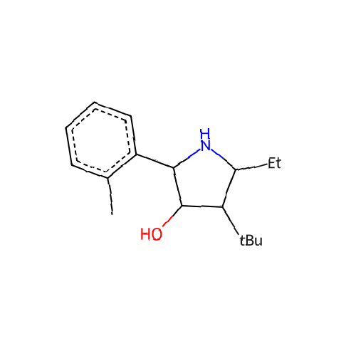 CCC1NC(c2ccccc2C)C(O)C1C(C)(C)C